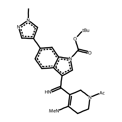 CNC1=C(C(=N)c2cn(C(=O)OC(C)(C)C)c3cc(-c4cnn(C)c4)ccc23)CN(C(C)=O)CC1